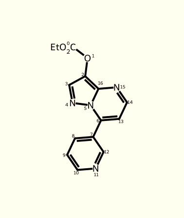 CCOC(=O)Oc1cnn2c(-c3cccnc3)ccnc12